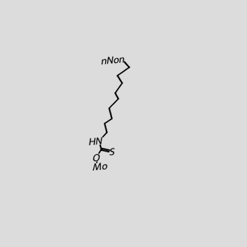 CCCCCCCCCCCCCCCCCCNC(=S)[O][Mo]